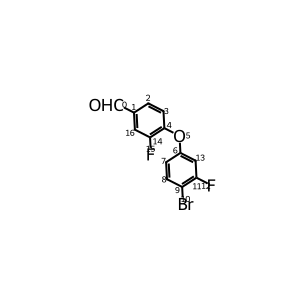 O=Cc1ccc(Oc2ccc(Br)c(F)c2)c(F)c1